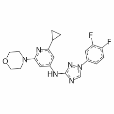 Fc1ccc(-n2cnc(Nc3cc(C4CC4)nc(N4CCOCC4)c3)n2)cc1F